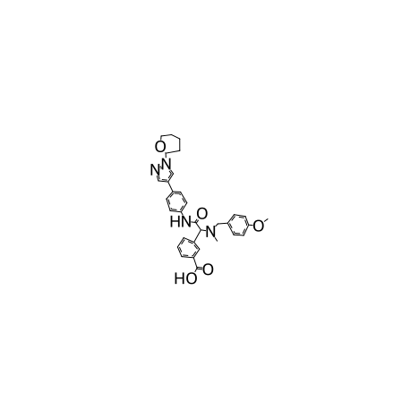 COc1ccc(CN(C)C(C(=O)Nc2ccc(-c3cnn(C4CCCCO4)c3)cc2)c2cccc(C(=O)O)c2)cc1